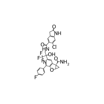 NC(=O)[C@@]12CC1Oc1c2cc([C@@](O)(CNC(=O)c2cc3c(cc2Cl)NC(=O)C3)C(F)(F)F)nc1-c1ccc(F)cc1